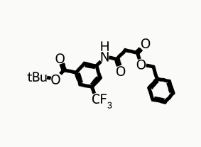 CC(C)(C)OC(=O)c1cc(NC(=O)CC(=O)OCc2ccccc2)cc(C(F)(F)F)c1